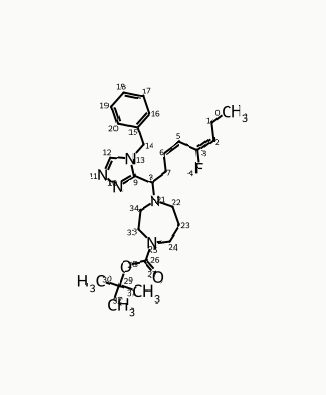 CC/C=C(F)\C=C/CC(c1nncn1Cc1ccccc1)N1CCCN(C(=O)OC(C)(C)C)CC1